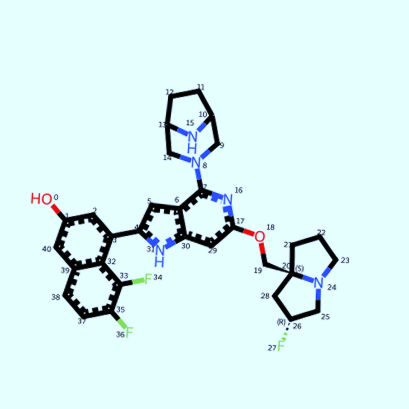 Oc1cc(-c2cc3c(N4CC5CCC(C4)N5)nc(OC[C@@]45CCCN4C[C@H](F)C5)cc3[nH]2)c2c(F)c(F)ccc2c1